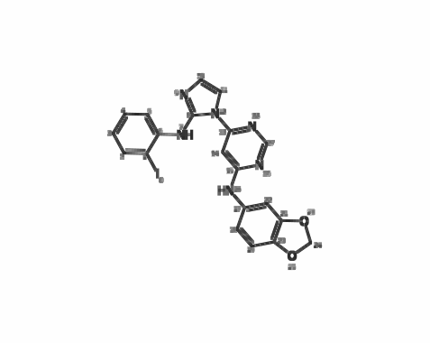 Ic1ccccc1Nc1nccn1-c1cc(Nc2ccc3c(c2)OCO3)ncn1